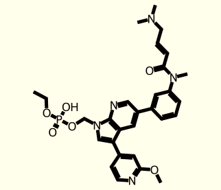 CCOP(=O)(O)OCn1cc(-c2ccnc(OC)c2)c2cc(-c3cccc(N(C)C(=O)C=CCN(C)C)c3)cnc21